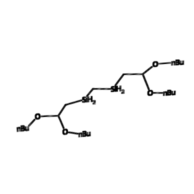 CCCCOC(C[SiH2]C[SiH2]CC(OCCCC)OCCCC)OCCCC